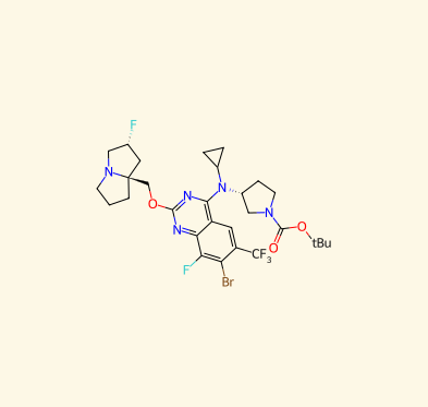 CC(C)(C)OC(=O)N1CC[C@@H](N(c2nc(OC[C@@]34CCCN3C[C@H](F)C4)nc3c(F)c(Br)c(C(F)(F)F)cc23)C2CC2)C1